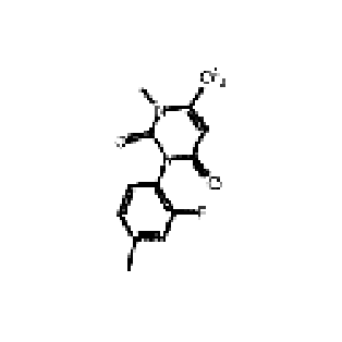 Cc1ccc(-n2c(=O)cc(C(F)(F)F)n(C)c2=O)c(F)c1